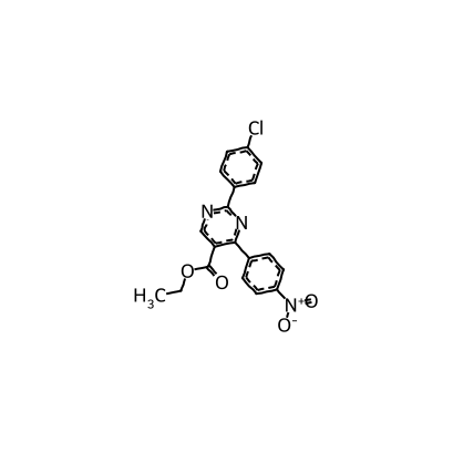 CCOC(=O)c1cnc(-c2ccc(Cl)cc2)nc1-c1ccc([N+](=O)[O-])cc1